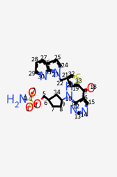 NS(=O)(=O)OCC1CC[C@H](Nc2ncncc2C(=O)c2cc(Cn3ccc4cccnc43)cs2)C1